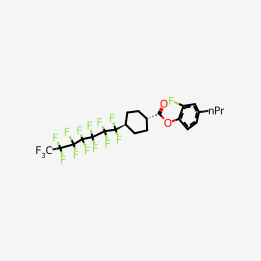 CCCc1ccc(OC(=O)[C@H]2CC[C@H](C(F)(F)C(F)(F)C(F)(F)C(F)(F)C(F)(F)C(F)(F)C(F)(F)F)CC2)c(F)c1